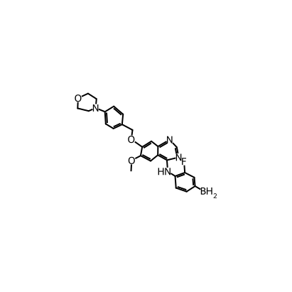 Bc1ccc(Nc2ncnc3cc(OCc4ccc(N5CCOCC5)cc4)c(OC)cc23)c(F)c1